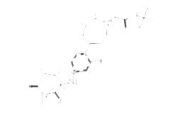 CC(C)(C)OC(=O)CN1CCCC(c2ccc(NC3CCC(=O)NC3=O)cc2F)CC1